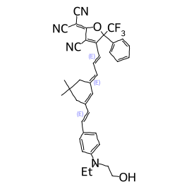 CCN(CCO)c1ccc(/C=C/C2=CC(=C/C=C/C3=C(C#N)C(=C(C#N)C#N)OC3(c3ccccc3)C(F)(F)F)/CC(C)(C)C2)cc1